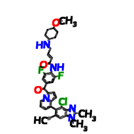 C#Cc1cc2c(nc(C)n2C)c(Cl)c1-c1cccn2c(C(=O)c3cc(F)c(NC(=O)/C=C/CNC4CCC(OC)CC4)c(F)c3)ccc12